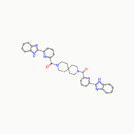 O=C(c1cccc(-c2nc3ccccc3[nH]2)n1)N1CCC2(CC1)CCN(C(=O)c1cccc(-c3nc4ccccc4[nH]3)n1)CC2